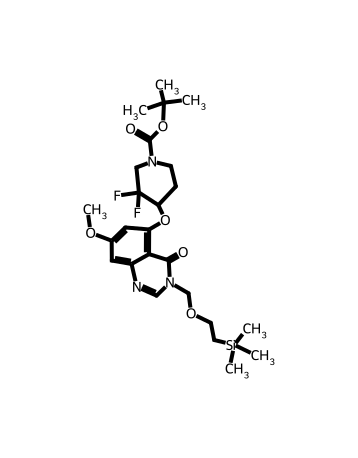 COc1cc(OC2CCN(C(=O)OC(C)(C)C)CC2(F)F)c2c(=O)n(COCC[Si](C)(C)C)cnc2c1